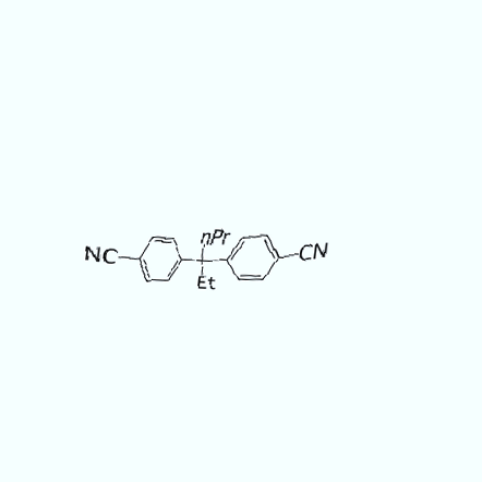 CCCC(CC)(c1ccc(C#N)cc1)c1ccc(C#N)cc1